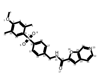 COc1cc(C)c(S(=O)(=O)c2ccc(CNC(=O)c3cc4ccncc4o3)cc2)cc1C